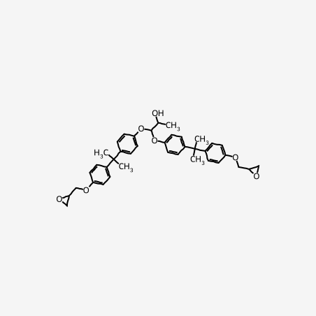 CC(O)C(Oc1ccc(C(C)(C)c2ccc(OCC3CO3)cc2)cc1)Oc1ccc(C(C)(C)c2ccc(OCC3CO3)cc2)cc1